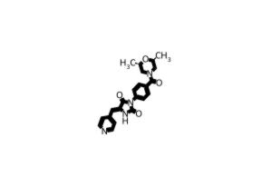 C[C@@H]1CN(C(=O)c2ccc(N3C(=O)N/C(=C\c4ccncc4)C3=O)cc2)C[C@H](C)O1